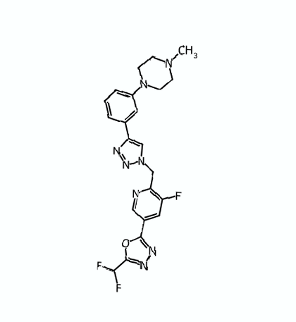 CN1CCN(c2cccc(-c3cn(Cc4ncc(-c5nnc(C(F)F)o5)cc4F)nn3)c2)CC1